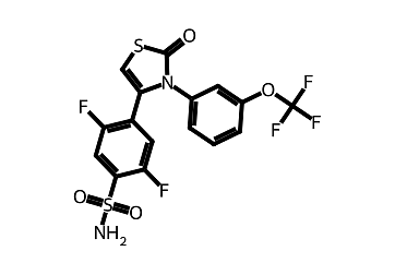 NS(=O)(=O)c1cc(F)c(-c2csc(=O)n2-c2cccc(OC(F)(F)F)c2)cc1F